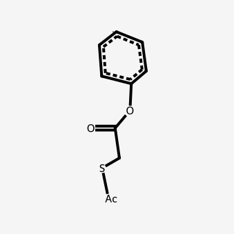 CC(=O)SCC(=O)Oc1cc[c]cc1